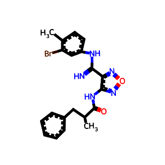 Cc1ccc(NC(=N)c2nonc2NC(=O)C(C)Cc2ccccc2)cc1Br